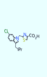 CC(C)Cc1cn(Cc2nc(C(=O)O)cs2)c2cc(Cl)ccc12